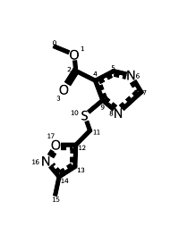 COC(=O)c1cncnc1SCc1cc(C)no1